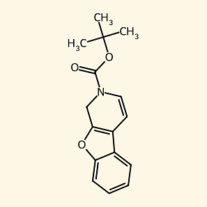 CC(C)(C)OC(=O)N1C=Cc2c(oc3ccccc23)C1